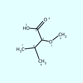 COC(C(=O)O)C(C)C